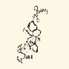 CCNC(=O)[C@H]1CC[C@H]2[C@@H]3CCc4cc(OS(N)(=O)=O)ccc4[C@H]3CC[C@]12C